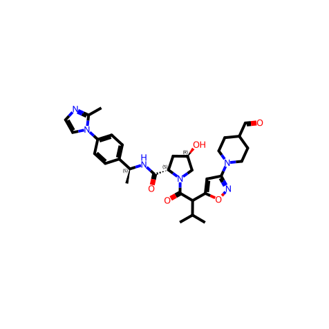 Cc1nccn1-c1ccc([C@H](C)NC(=O)[C@@H]2C[C@@H](O)CN2C(=O)C(c2cc(N3CCC(C=O)CC3)no2)C(C)C)cc1